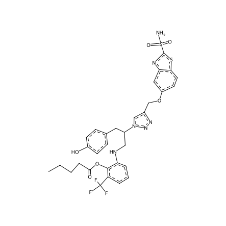 CCCCC(=O)Oc1c(NCC(Cc2ccc(O)cc2)n2cc(COc3ccc4sc(S(N)(=O)=O)nc4c3)nn2)cccc1C(F)(F)F